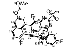 COCOc1cc(-c2ncc3c(-c4cccc(F)c4)nc(S(C)(=O)=O)nc3c2F)c2c(C#C[Si](C(C)C)(C(C)C)C(C)C)c(F)ccc2c1